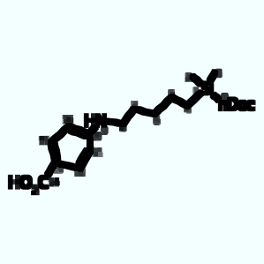 CCCCCCCCCC[Si](C)(C)CCCCCNc1ccc(C(=O)O)cc1